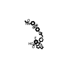 C=CC(=O)Nc1cccc(S(=O)(=O)c2ccc(N3CC(CN4CCC([C@@](CN5CCC5)(c5cccc(F)c5)[C@H]5CCC[C@@H]5NC(=O)O)CC4)C3)cc2)c1